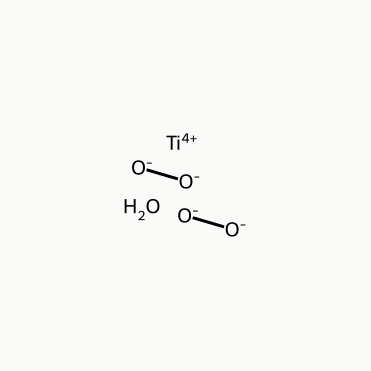 O.[O-][O-].[O-][O-].[Ti+4]